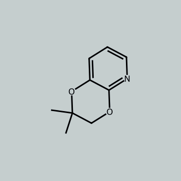 CC1(C)COc2ncccc2O1